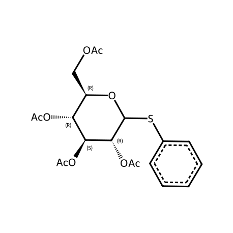 CC(=O)OC[C@H]1OC(Sc2ccccc2)[C@H](OC(C)=O)[C@@H](OC(C)=O)[C@@H]1OC(C)=O